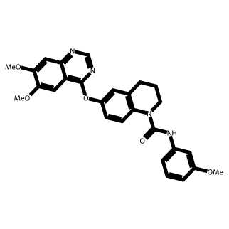 COc1cccc(NC(=O)N2CCCc3cc(Oc4ncnc5cc(OC)c(OC)cc45)ccc32)c1